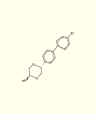 CCC[C@H]1CO[C@H](c2ccc(-c3ccc(CC)cc3)cc2)CO1